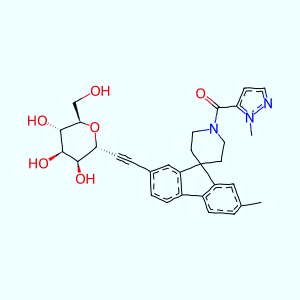 Cc1ccc2c(c1)C1(CCN(C(=O)c3ccnn3C)CC1)c1cc(C#C[C@H]3O[C@H](CO)[C@@H](O)[C@H](O)[C@@H]3O)ccc1-2